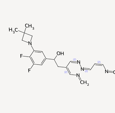 C=N\C=C/C=N\N=C/C(=C\N=C)CC(O)c1cc(F)c(F)c(N2CC(C)(C)C2)c1